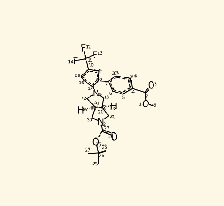 COC(=O)c1ccc(-c2cc(C(F)(F)F)ccc2N2C[C@H]3CN(C(=O)OC(C)(C)C)C[C@H]3C2)cc1